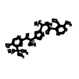 CC(NC(=O)c1ncnc(N)c1Cl)c1ncc([C@@H](O)Nc2ncc(Cl)c(C(C)(C)C)n2)s1